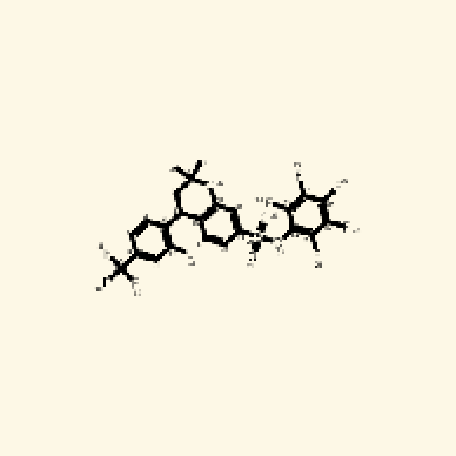 CC1(C)CC(c2ccc(C(F)(F)F)cc2Cl)c2ccc(S(=O)(=O)Oc3c(F)c(F)c(F)c(F)c3F)cc2O1